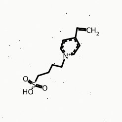 C=Cc1cc[n+](CCCCS(=O)(=O)O)cc1